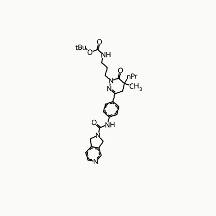 CCCC1(C)CC(c2ccc(NC(=O)N3Cc4ccncc4C3)cc2)=NN(CCCNC(=O)OC(C)(C)C)C1=O